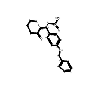 O=C1CCCC[C@@H]1[C@H](C[N+](=O)[O-])c1ccc(OCc2ccccc2)cc1